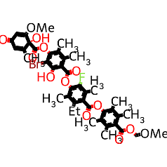 CCc1c(C)c(OC(=O)c2c(C)c(C)c(OC(=O)[C@@]3(O)C(C)=CC(=O)C=C3OC)c(Br)c2O)c(F)c(C)c1C(=O)Oc1c(C)c(C)c(C(=O)OCOC)c(C)c1C